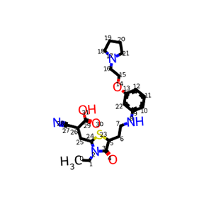 CCN1C(=O)C(CCNc2cccc(OCCN3CCCC3)c2)SC1CC(C#N)C(=O)O